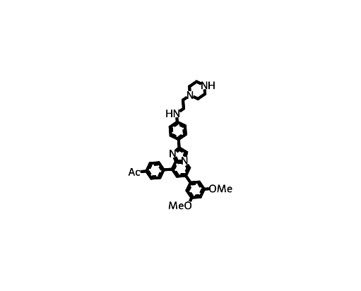 COc1cc(OC)cc(-c2cc(-c3ccc(C(C)=O)cc3)c3nc(-c4ccc(NCCN5CCNCC5)cc4)cn3c2)c1